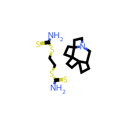 C1CC23CCC24CCC42CCN2CC13.NC(=S)SCCSC(N)=S